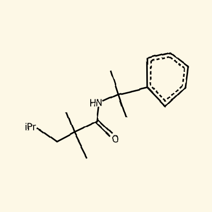 CC(C)CC(C)(C)C(=O)NC(C)(C)c1ccccc1